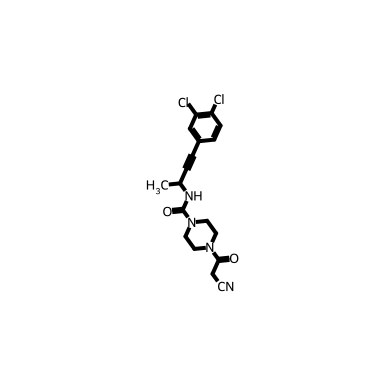 CC(C#Cc1ccc(Cl)c(Cl)c1)NC(=O)N1CCN(C(=O)CC#N)CC1